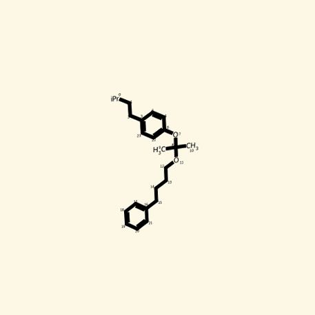 CC(C)CCc1ccc(OC(C)(C)OCCCCc2ccccc2)cc1